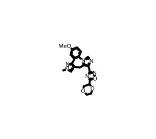 COc1ccc2c(c1)-c1nn(C)cc1Cc1c(-c3noc(C4COCCO4)n3)ncn1-2